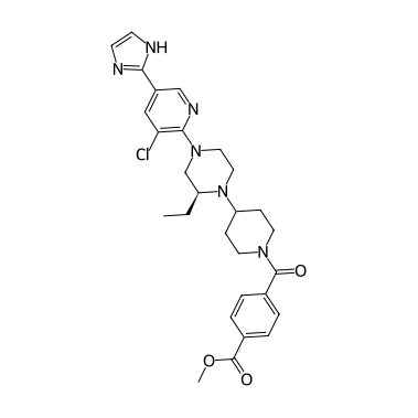 CC[C@H]1CN(c2ncc(-c3ncc[nH]3)cc2Cl)CCN1C1CCN(C(=O)c2ccc(C(=O)OC)cc2)CC1